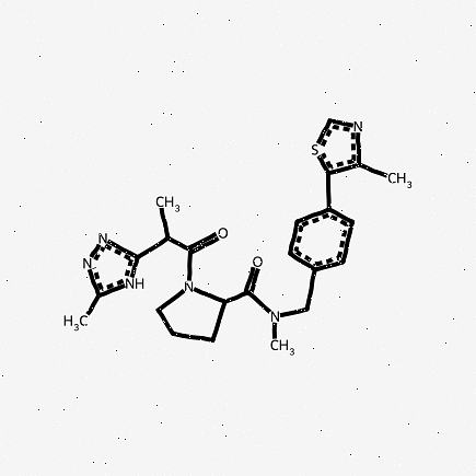 Cc1nnc(C(C)C(=O)N2CCCC2C(=O)N(C)Cc2ccc(-c3scnc3C)cc2)[nH]1